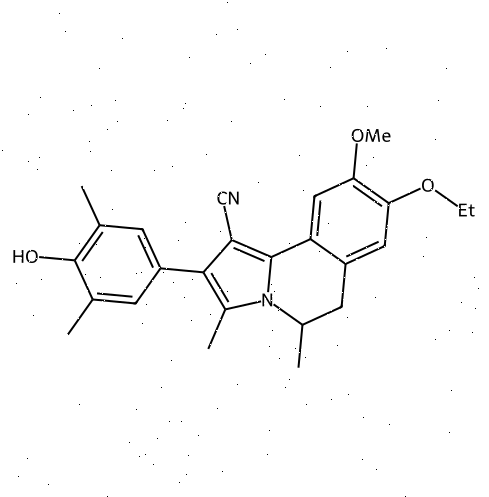 CCOc1cc2c(cc1OC)-c1c(C#N)c(-c3cc(C)c(O)c(C)c3)c(C)n1C(C)C2